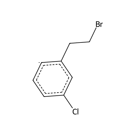 Clc1cc[c]c(CCBr)c1